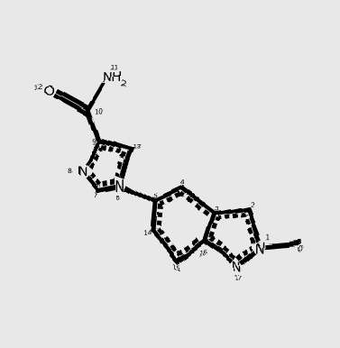 Cn1cc2cc(-n3cnc(C(N)=O)c3)ccc2n1